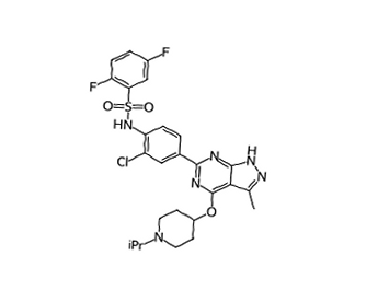 Cc1n[nH]c2nc(-c3ccc(NS(=O)(=O)c4cc(F)ccc4F)c(Cl)c3)nc(OC3CCN(C(C)C)CC3)c12